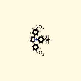 CC[Si](CC)(CC)c1ccc(N2[C@H](c3ccc([N+](=O)[O-])cc3)CC[C@H]2c2ccc([N+](=O)[O-])cc2)cc1